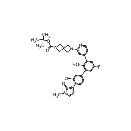 Cn1ccn(-c2ccc(-c3cc(F)cc(-c4ccnc(N5CC6(CN(C(=O)OC(C)(C)C)C6)C5)c4)c3O)cc2Cl)c1=O